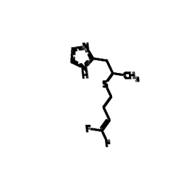 CC(Cc1ncc[nH]1)SCCC=C(F)F